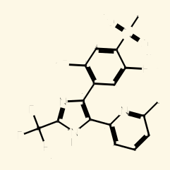 Cc1cccc(-c2[nH]c(C(F)(F)F)nc2-c2cc(F)c(S(C)(=O)=O)cc2F)n1